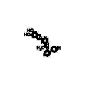 C=C(Nc1cnccc1N1CCNCC1)c1ccnc(N2Cc3cc(O)c(O)cc3C2)n1